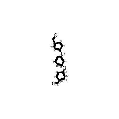 O=Cc1ccc(Oc2cccc(Oc3ccc(C=O)cc3)c2)cc1